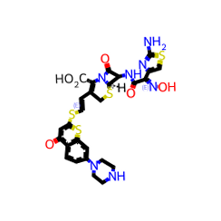 Nc1nc(/C(=N\O)C(=O)NC2C(=O)N3C(C(=O)O)=C(/C=C/Sc4cc(=O)c5ccc(N6CCNCC6)cc5s4)CS[C@H]23)cs1